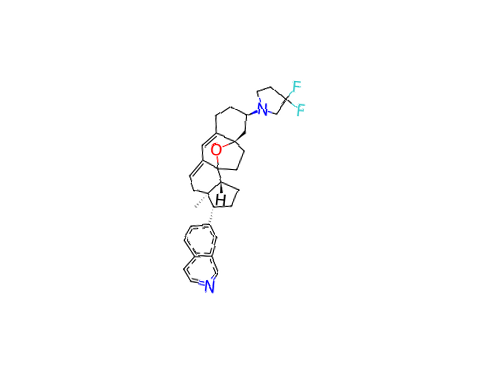 C[C@]12CC=C3C=C4CC[C@@H](N5CCC(F)(F)C5)C[C@]45CCC3(O5)[C@@H]1CC[C@@H]2c1ccc2ccncc2c1